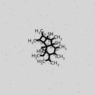 CCC1(C)C(C(C)C)C(C)C(C)C2(S)C(C)C3(S)C(C)C(C)C3C12CC